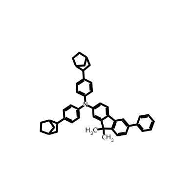 CC1(C)c2ccc(-c3ccccc3)cc2-c2ccc(N(c3ccc(C4CC5CCC4C5)cc3)c3ccc(C4CC5CCC4C5)cc3)cc21